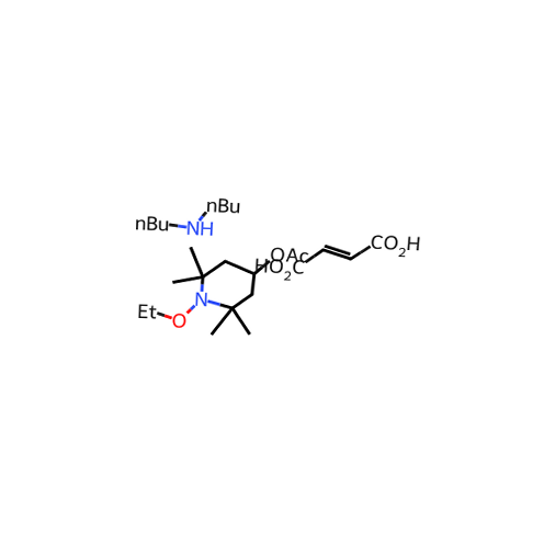 CCCCNCCCC.CCON1C(C)(C)CC(OC(C)=O)CC1(C)C.O=C(O)C=CC(=O)O